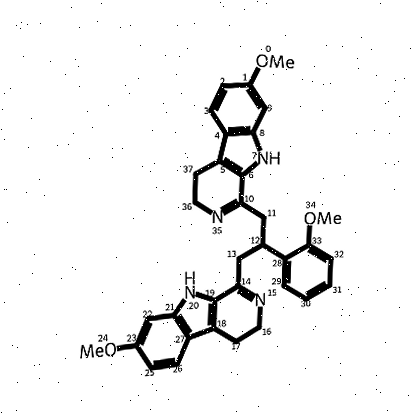 COc1ccc2c3c([nH]c2c1)C(CC(CC1=NCCc2c1[nH]c1cc(OC)ccc21)c1ccccc1OC)=NCC3